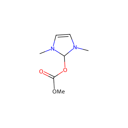 COC(=O)OC1N(C)C=CN1C